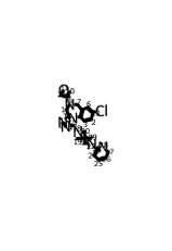 Clc1ccc2c(c1)CN(C1COC1)Cc1nnc(N3CC4(CN(c5ccccn5)C4)C3)n1-2